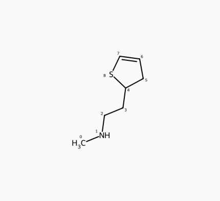 CNCCC1CC=CS1